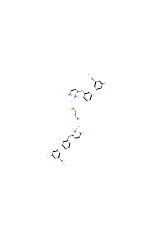 N#Cc1cc(F)cc(Oc2c(Cl)ccc(Cc3ccc(=O)n(COC(=O)CCC(=O)OCn4nc(Cc5ccc(Cl)c(Oc6cc(F)cc(C#N)c6)c5F)ccc4=O)n3)c2F)c1